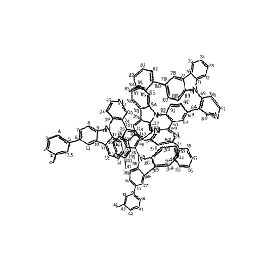 Cc1cccc(-c2ccc3c(c2)c2ccccc2n3-c2ccncc2-c2ccc(-n3c4ccccc4c4cc(-c5cccc(C)c5)ccc43)c(-c3cc(-c4ccccc4)nc(-c4cc(-c5cnccc5-n5c6ccccc6c6cc(-c7cccc(C)c7)ccc65)ccc4-n4c5ccccc5c5cc(-c6cccc(C)c6)ccc54)n3)c2)c1